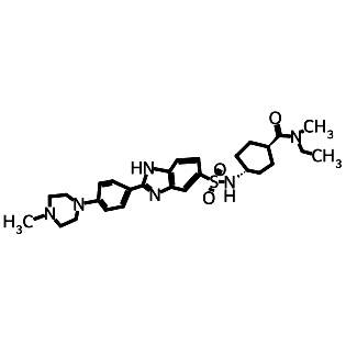 CCN(C)C(=O)[C@H]1CC[C@H](NS(=O)(=O)c2ccc3[nH]c(-c4ccc(N5CCN(C)CC5)cc4)nc3c2)CC1